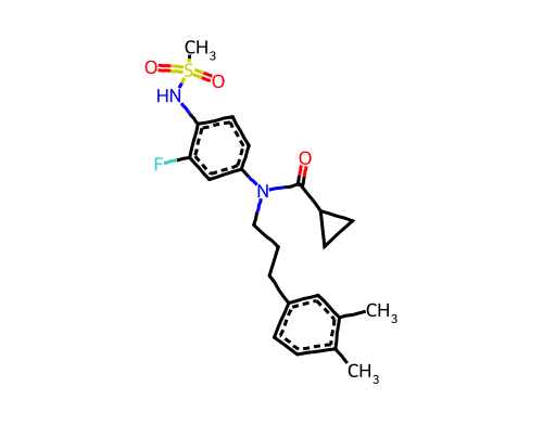 Cc1ccc(CCCN(C(=O)C2CC2)c2ccc(NS(C)(=O)=O)c(F)c2)cc1C